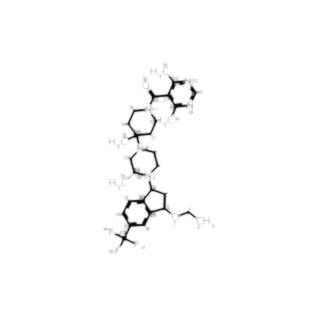 CCOC1CC(N2CCN(C3(C)CCN(C(=O)c4c(C)ncnc4C)CC3)C[C@@H]2C)c2ccc(C(F)(F)F)cc21